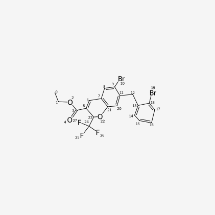 CCOC(=O)C1=Cc2cc(Br)c(Cc3ccccc3Br)cc2OC1C(F)(F)F